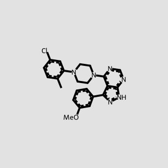 COc1cccc(-c2n[nH]c3ncnc(N4CCN(c5cc(Cl)ccc5C)CC4)c23)c1